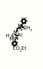 CCOC(=O)c1ccc(N/N=C(C(C)=O)\C(C)=N/CCc2nc(-c3ccccc3)c(C)s2)cc1